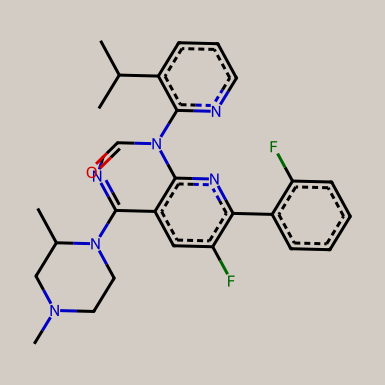 C/N=C(\c1cc(F)c(-c2ccccc2F)nc1N(C=O)c1ncccc1C(C)C)N1CCN(C)CC1C